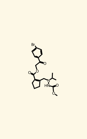 COC(=O)NN(CC1=C(C(=O)OCC(=O)c2ccc(Br)cc2)CCC1)C(C)C